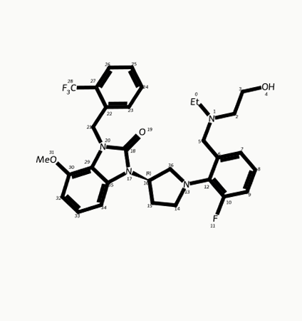 CCN(CCO)Cc1cccc(F)c1N1CC[C@@H](n2c(=O)n(Cc3ccccc3C(F)(F)F)c3c(OC)cccc32)C1